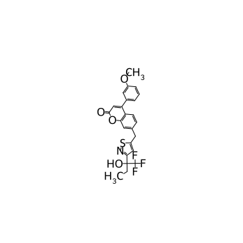 CCC(O)(c1cc(Cc2ccc3c(-c4cccc(OC)c4)cc(=O)oc3c2)sn1)C(F)(F)F